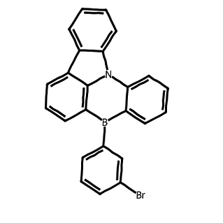 Brc1cccc(B2c3ccccc3-n3c4ccccc4c4cccc2c43)c1